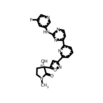 CN1CC[C@@](O)(c2cc(-c3cccc(-c4ccnc(Nc5cncc(F)c5)n4)n3)no2)C1=O